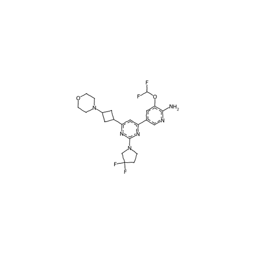 Nc1ncc(-c2cc(C3CC(N4CCOCC4)C3)nc(N3CCC(F)(F)C3)n2)cc1OC(F)F